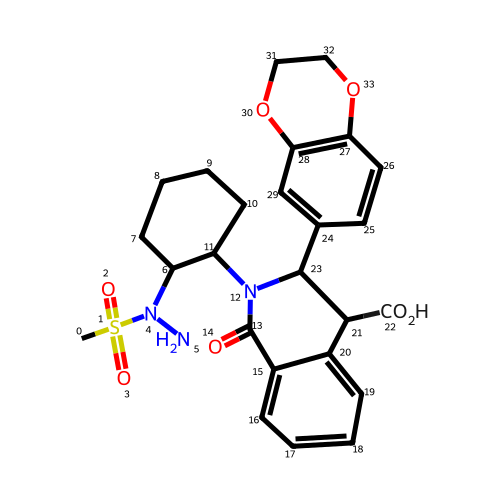 CS(=O)(=O)N(N)C1CCCCC1N1C(=O)c2ccccc2C(C(=O)O)C1c1ccc2c(c1)OCCO2